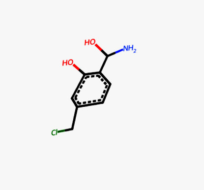 NC(O)c1ccc(CCl)cc1O